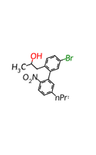 CC[C]c1ccc([N+](=O)[O-])c(-c2cc(Br)ccc2CC(C)O)c1